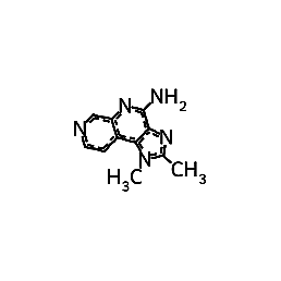 Cc1nc2c(N)nc3cnccc3c2n1C